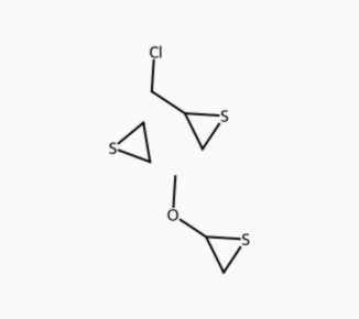 C1CS1.COC1CS1.ClCC1CS1